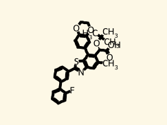 Cc1cc2nc(-c3cccc(-c4ccccc4F)c3)sc2c(-c2ccc3c(c2)OCCO3)c1[C@H](OC(C)(C)C)C(=O)O